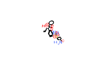 CCCC(c1cccc(NS(=O)(=O)c2ccc(C(N)=O)cc2)c1)c1c(O)c2c(oc1=O)CCCCCC2=O